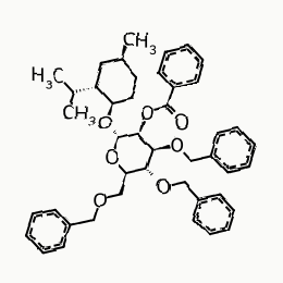 CC(C)[C@@H]1C[C@@H](C)CC[C@H]1O[C@H]1O[C@H](COCc2ccccc2)[C@@H](OCc2ccccc2)[C@H](OCc2ccccc2)[C@@H]1OC(=O)c1ccccc1